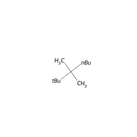 [CH2]CCCC(C)(C)C(C)(C)C